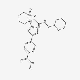 CCNC(=O)c1ccc(-c2ccc([C@@]3(CC(=O)NOC4CCCCO4)CCCCS3(=O)=O)s2)cc1